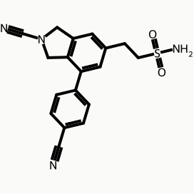 N#Cc1ccc(-c2cc(CCS(N)(=O)=O)cc3c2CN(C#N)C3)cc1